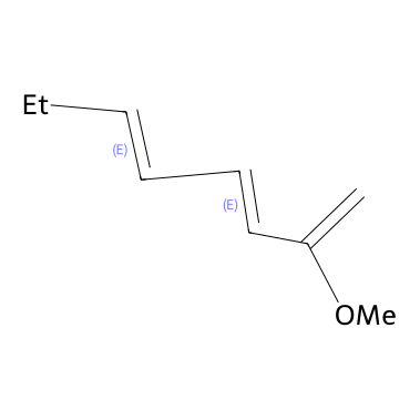 C=C(/C=C/C=C/CC)OC